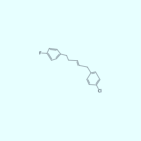 Fc1ccc(CC/C=C/Cc2ccc(Cl)cc2)cc1